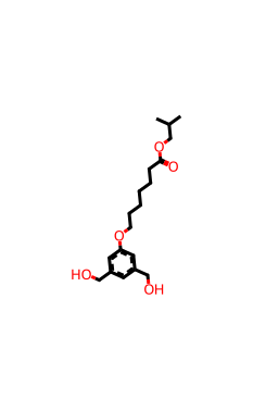 CC(C)COC(=O)CCCCCCOc1cc(CO)cc(CO)c1